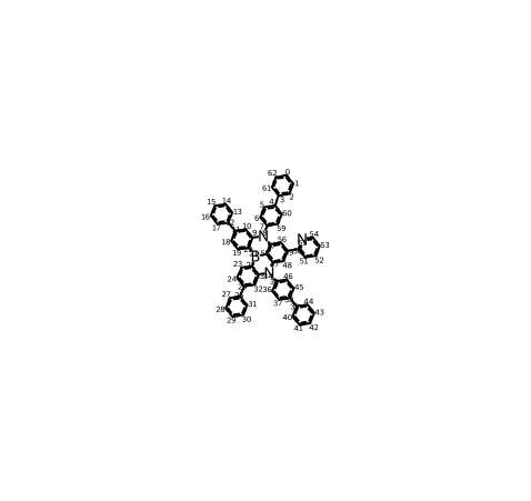 c1ccc(-c2ccc(N3c4cc(-c5ccccc5)ccc4B4c5ccc(-c6ccccc6)cc5N(c5ccc(-c6ccccc6)cc5)c5cc(-c6ccccn6)cc3c54)cc2)cc1